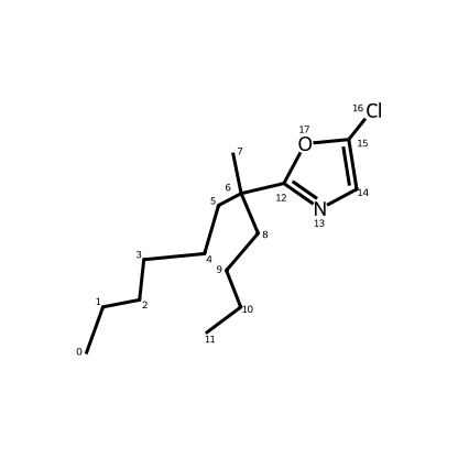 CCCCCCC(C)(CCCC)c1ncc(Cl)o1